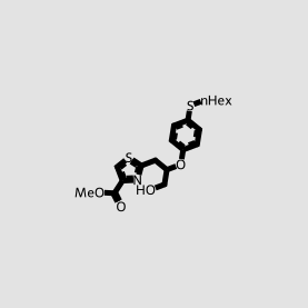 CCCCCCSc1ccc(OC(CO)Cc2nc(C(=O)OC)cs2)cc1